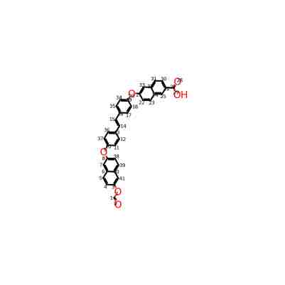 O=COc1ccc2cc(Oc3ccc(/C=C/c4ccc(Oc5ccc6cc(C(=O)O)ccc6c5)cc4)cc3)ccc2c1